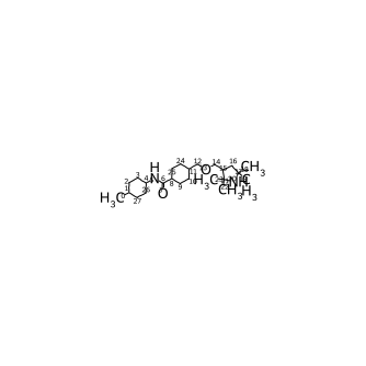 CC1CCC(NC(=O)C2CCC(COCC3CC(C)(C)NC3(C)C)CC2)CC1